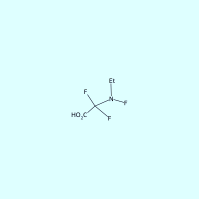 CCN(F)C(F)(F)C(=O)O